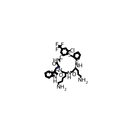 CN1C(=O)C(CCCCN)NC(=O)C(CCCN)NCc2ccccc2Sc2c(Cl)cc(C(F)(F)F)cc2CNC(=O)/C1=C/c1c[nH]c2ccccc12